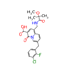 COC(C)(C)C(=O)NCc1cc(C(=O)O)c(=O)n2cc(Cc3cccc(Cl)c3F)ccc12